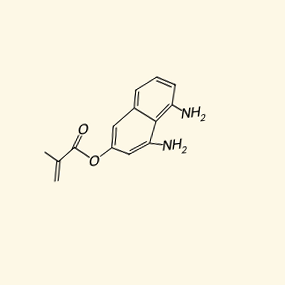 C=C(C)C(=O)Oc1cc(N)c2c(N)cccc2c1